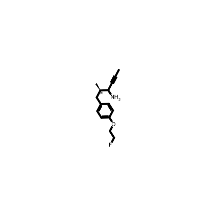 CC#CC(N)[C@H](C)Cc1ccc(OCCF)cc1